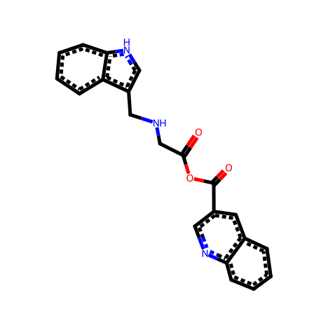 O=C(CNCc1c[nH]c2ccccc12)OC(=O)c1cnc2ccccc2c1